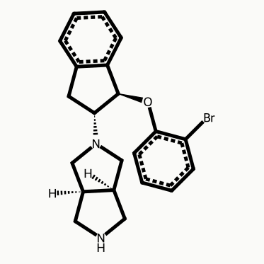 Brc1ccccc1O[C@@H]1c2ccccc2C[C@H]1N1C[C@H]2CNC[C@H]2C1